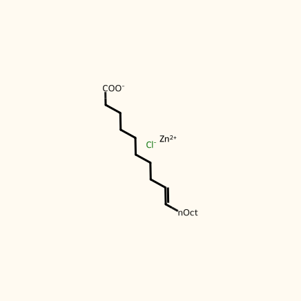 CCCCCCCCC=CCCCCCCCC(=O)[O-].[Cl-].[Zn+2]